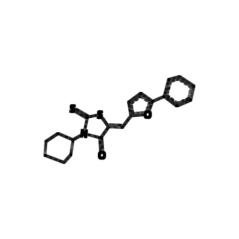 O=C1C(=Cc2ccc(-c3ccccc3)o2)SC(=S)N1C1CCCCC1